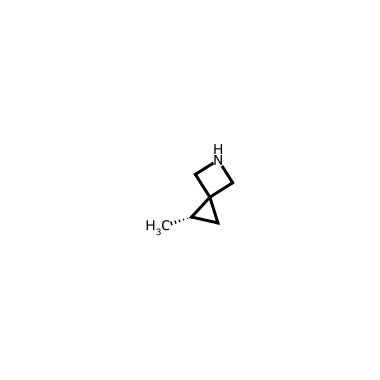 C[C@H]1CC12CNC2